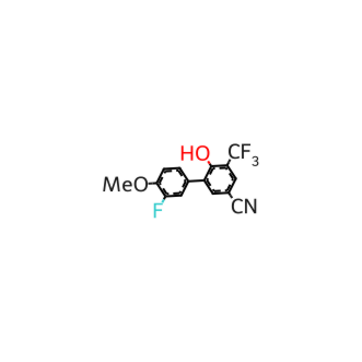 COc1ccc(-c2cc(C#N)cc(C(F)(F)F)c2O)cc1F